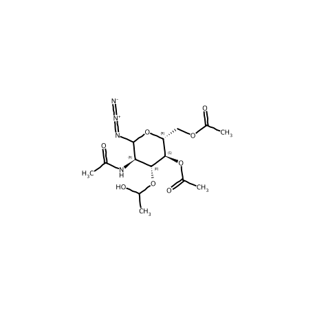 CC(=O)N[C@H]1C(N=[N+]=[N-])O[C@H](COC(C)=O)[C@@H](OC(C)=O)[C@@H]1OC(C)O